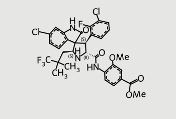 COC(=O)c1ccc(NC(=O)[C@@H]2N[C@@H](CC(C)(C)C(F)(F)F)C3(C(=O)Nc4cc(Cl)ccc43)[C@H]2c2cccc(Cl)c2F)c(OC)c1